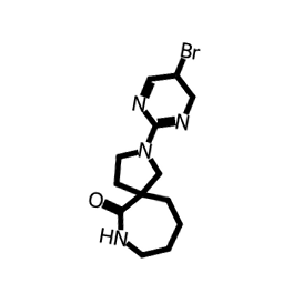 O=C1NCCCCC12CCN(C1=NCC(Br)C=N1)C2